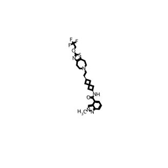 Cn1cc2c(C(=O)N[C@H]3CC4(C[C@H](CCN5CCc6nc(OCC(F)(F)F)sc6CC5)C4)C3)cccc2n1